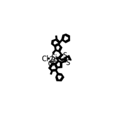 Cc1ccc2c(c1-c1ccccc1)C=C(c1cccs1)C2C[SiH](CC1C(c2cccs2)=Cc2c1ccc(C)c2-c1ccccc1)[Zr]([Cl])[Cl]